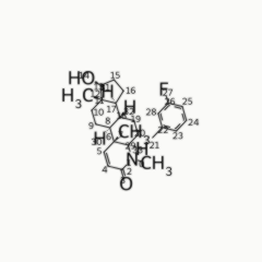 CN1C(=O)C=C[C@]2(C)[C@H]3CC[C@]4(C)[C@@H](O)CC[C@H]4[C@@H]3C[C@H](Cc3cccc(F)c3)[C@@H]12